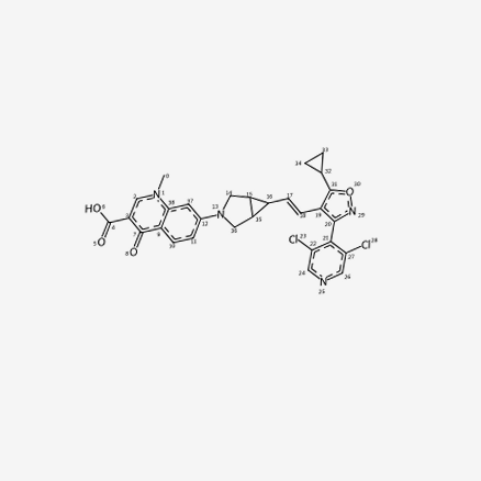 Cn1cc(C(=O)O)c(=O)c2ccc(N3CC4C(/C=C/c5c(-c6c(Cl)cncc6Cl)noc5C5CC5)C4C3)cc21